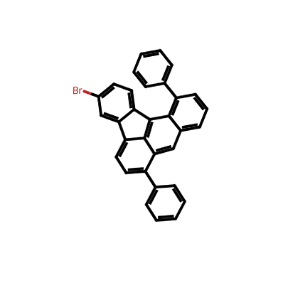 Brc1ccc2c(c1)-c1ccc(-c3ccccc3)c3cc4cccc(-c5ccccc5)c4c-2c13